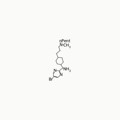 CCCCCN(C)CCCC1CCC(C(N)c2ncc(Br)cn2)CC1